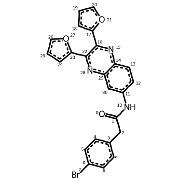 O=C(Cc1ccc(Br)cc1)Nc1ccc2nc(-c3ccco3)c(-c3ccco3)nc2c1